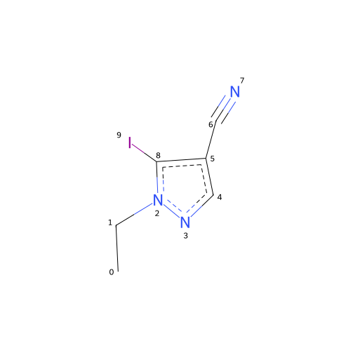 CCn1ncc(C#N)c1I